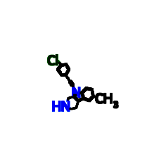 Cc1ccc2c(c1)c1c(n2C#Cc2ccc(Cl)cc2)CNCC1